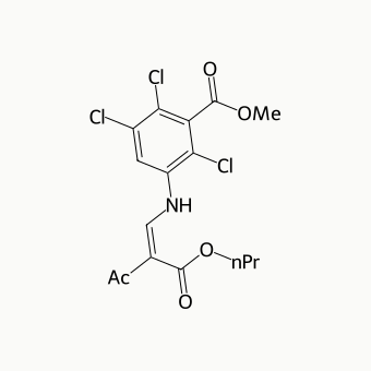 CCCOC(=O)C(=CNc1cc(Cl)c(Cl)c(C(=O)OC)c1Cl)C(C)=O